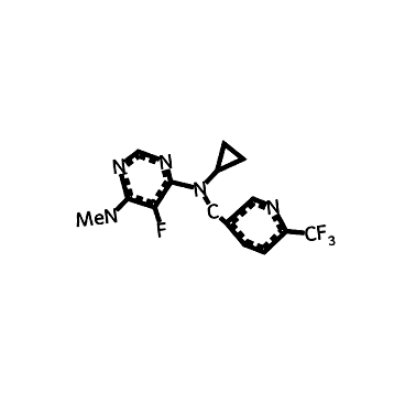 CNc1ncnc(N(Cc2ccc(C(F)(F)F)nc2)C2CC2)c1F